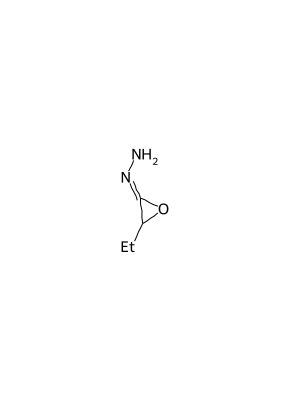 CCC1OC1=NN